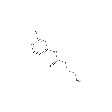 O=C(CCCO)Oc1cccc(Cl)c1